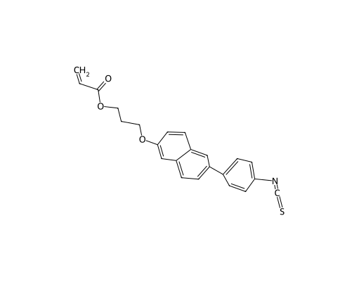 C=CC(=O)OCCCOc1ccc2cc(-c3ccc(N=C=S)cc3)ccc2c1